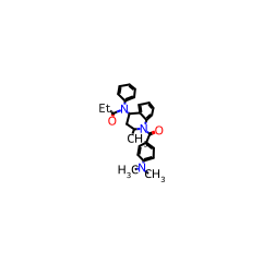 CCC(=O)N(c1ccccc1)C1CC(C)N(C(=O)c2ccc(N(C)C)cc2)c2ccccc21